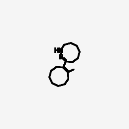 CC1=C(C2=NNCCCCCC2)CCCCCCC1